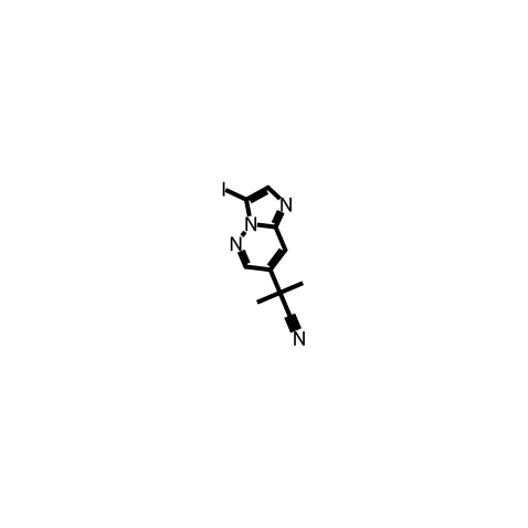 CC(C)(C#N)c1cnn2c(I)cnc2c1